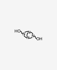 OCCN1CCN2CCN(CCO)CCN(CC1)CC2